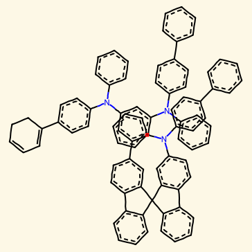 C1=CCCC(c2ccc(N(c3ccccc3)c3cc(-c4ccc5c(c4)C4(c6ccccc6-5)c5ccccc5-c5ccc(N(c6ccccc6)c6ccc(-c7ccccc7)cc6)cc54)cc(N(c4ccccc4)c4ccc(-c5ccccc5)cc4)c3)cc2)=C1